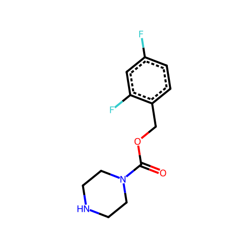 O=C(OCc1ccc(F)cc1F)N1CCNCC1